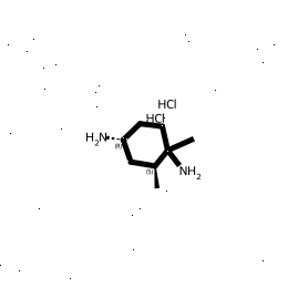 C[C@H]1C[C@H](N)CCC1(C)N.Cl.Cl